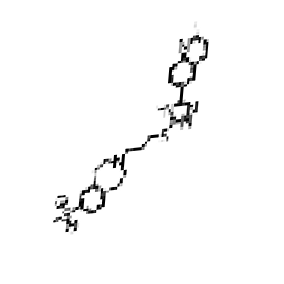 Cc1ccc2cc(-c3nnc(SCCCN4CCc5ccc(S(C)(=O)=O)cc5CC4)n3C)ccc2n1